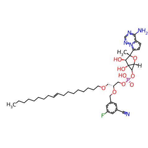 CCCCCCCC/C=C/CCCCCCCCOC[C@H](COP(=O)(O)OC1[C@H]2O[C@@](C)(c3ccc4c(N)ncnn34)[C@H](O)[C@@]12O)OCc1cc(F)cc(C#N)c1